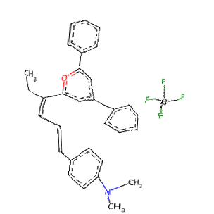 CCC(=CC=Cc1ccc(N(C)C)cc1)c1cc(-c2ccccc2)cc(-c2ccccc2)[o+]1.F[B-](F)(F)F